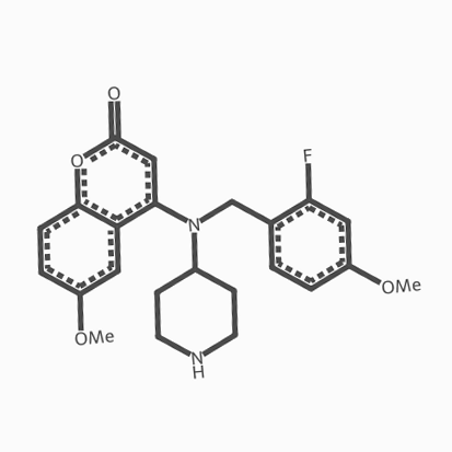 COc1ccc(CN(c2cc(=O)oc3ccc(OC)cc23)C2CCNCC2)c(F)c1